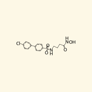 O=C(CCCNS(=O)(=O)c1ccc(-c2ccc(Cl)cc2)cc1)NO